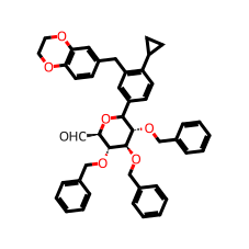 O=C[C@H]1OC(c2ccc(C3CC3)c(Cc3ccc4c(c3)OCCO4)c2)[C@H](OCc2ccccc2)[C@@H](OCc2ccccc2)[C@@H]1OCc1ccccc1